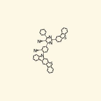 N#Cc1cc(-c2nc(-c3ccc4sc5ccccc5c4c3)nc(-c3ccccc3)c2C#N)ccc1-n1c2ccccc2c2cc3c(cc21)sc1ccccc13